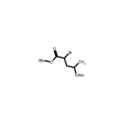 COC(C)CC(Br)C(=O)OC(C)(C)C